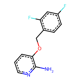 Nc1ncccc1OCc1ccc(F)cc1F